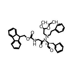 CCOC(CN(CCc1ccccc1)N(C(=O)CNC(=O)OCC1c2ccccc2-c2ccccc21)[C@H](C=O)Cc1ccccc1)OC